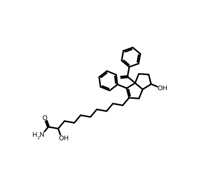 C=C(c1ccccc1)C12CCC(O)C1CC(CCCCCCCCC(O)C(N)=O)=C2c1ccccc1